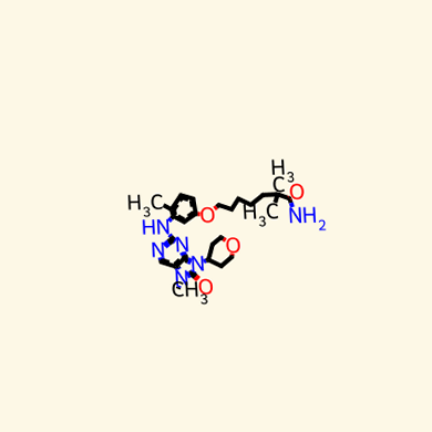 Cc1ccc(OCCCCCC(C)(C)C(N)=O)cc1Nc1ncc2c(n1)n(C1CCOCC1)c(=O)n2C